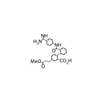 COC(=O)CCc1ccc(-c2ccccc2C(=O)Nc2ccc(C(=N)N)cc2)c(C(=O)O)c1